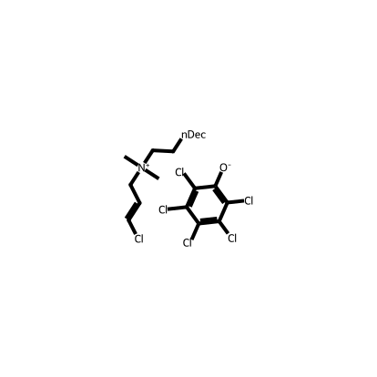 CCCCCCCCCCCC[N+](C)(C)CC=CCl.[O-]c1c(Cl)c(Cl)c(Cl)c(Cl)c1Cl